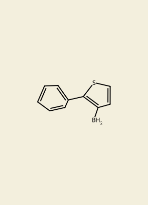 Bc1ccsc1-c1ccccc1